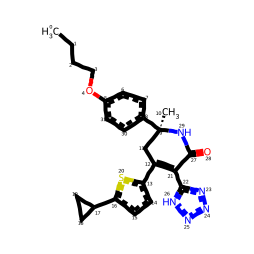 CCCCOc1ccc([C@]2(C)CC(c3ccc(C4CC4)s3)=C(c3nnn[nH]3)C(=O)N2)cc1